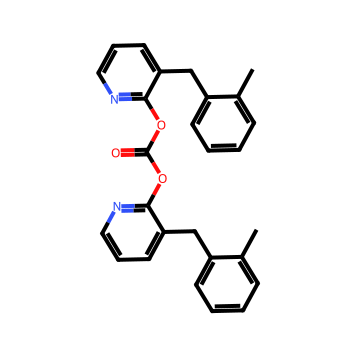 Cc1ccccc1Cc1cccnc1OC(=O)Oc1ncccc1Cc1ccccc1C